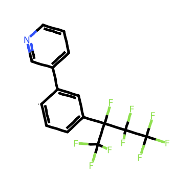 FC(F)(F)C(F)(F)C(F)(c1cc[c]c(-c2cccnc2)c1)C(F)(F)F